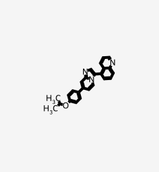 CC(C)Oc1ccc(-c2ccn3c(-c4cccc5ncccc45)cnc3c2)cc1